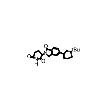 CC(C)(C)N1CCCC(c2ccc3c(c2)CN(C2CCC(=O)NC2=O)C3=O)C1